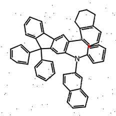 c1ccc(N(c2ccc3ccccc3c2)c2cc3c(cc2-c2cccc4c2CCCC4)-c2ccccc2C3(c2ccccc2)c2ccccc2)cc1